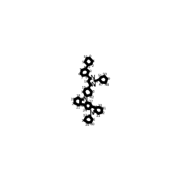 c1ccc(-c2cccc(-c3cc(-c4ccc(-n5c6ccccc6c6cc7c(cc65)c5ccccc5n7-c5ccccc5)cc4)nc(-c4ccccc4)n3)c2)cc1